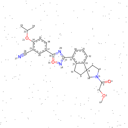 COCC(=O)N1CCC2(CCc3c(-c4noc(-c5ccc(OC(C)C)c(C#N)c5)n4)cccc32)C1